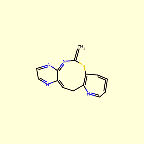 C=C1/N=c2/nccn/c2=C/CC2=C(C=C=CC=N2)S1